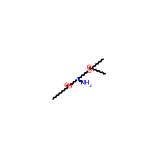 CCCCCCCCCCCC(=O)OCCCCCN(CCN)CCCCCCCOC(=O)C(CCCCCCCC)CCCCCCCC